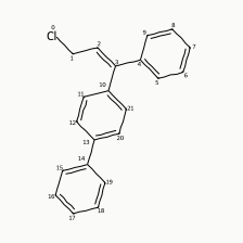 ClC/C=C(/c1ccccc1)c1ccc(-c2ccccc2)cc1